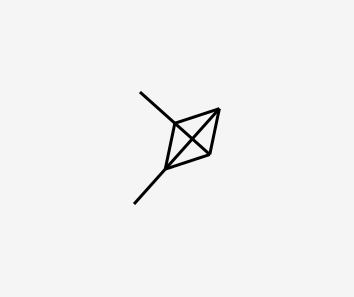 CC12C3C1C32C